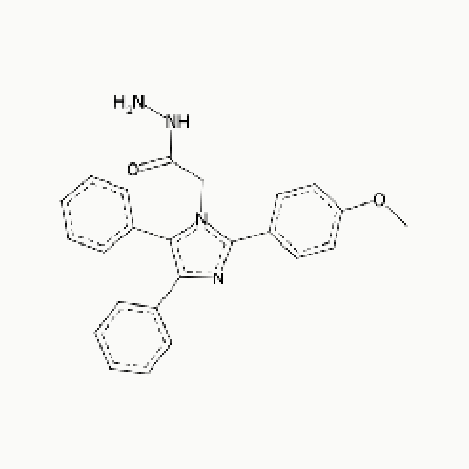 COc1ccc(-c2nc(-c3ccccc3)c(-c3ccccc3)n2CC(=O)NN)cc1